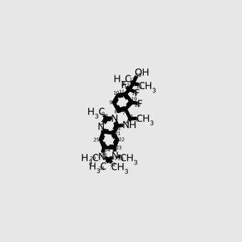 Cc1nc(NC(C)c2cccc(C(F)(F)C(C)(C)O)c2F)c2cc3c(cc2n1)N(C)C(C)(C)N3C